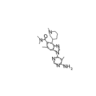 Cc1cc2c(ncn2-c2ncnc(N)c2C)c(C2CCCN(C)C2)c1C(=O)N(C)C